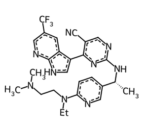 CCN(CCN(C)C)c1ccc([C@@H](C)Nc2ncc(C#N)c(-c3c[nH]c4ncc(C(F)(F)F)cc34)n2)cn1